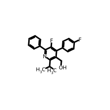 CC(C)c1nc(-c2ccccc2)c(F)c(-c2ccc(F)cc2)c1CO